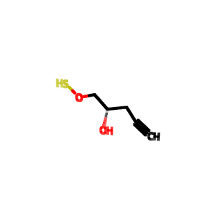 C#CC[C@H](O)COS